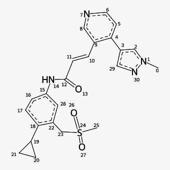 Cn1cc(-c2ccncc2C=CC(=O)Nc2ccc(C3CC3)c(CS(C)(=O)=O)c2)cn1